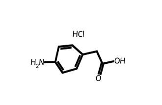 Cl.Nc1ccc(CC(=O)O)cc1